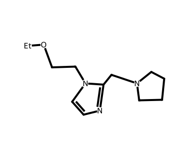 CCOCCn1ccnc1CN1CCCC1